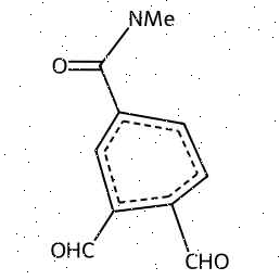 CNC(=O)c1ccc(C=O)c(C=O)c1